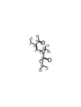 CCC(=CC1C(C(=O)OC(C)C)C1(C)C)C(C)=O